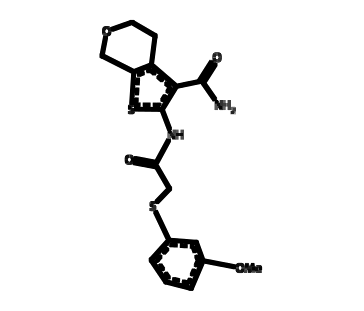 COc1cccc(SCC(=O)Nc2sc3c(c2C(N)=O)CCOC3)c1